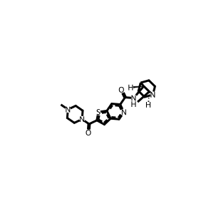 C[C@H]1[C@H](NC(=O)c2cc3sc(C(=O)N4CCN(C)CC4)cc3cn2)C2CCN1CC2